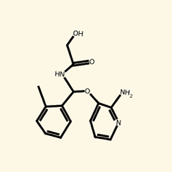 Cc1ccccc1C(NC(=O)CO)Oc1cccnc1N